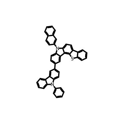 c1ccc(-n2c3ccccc3c3cc(-c4ccc5c(c4)c4c6sc7ccccc7c6ccc4n5-c4ccc5ccccc5c4)ccc32)cc1